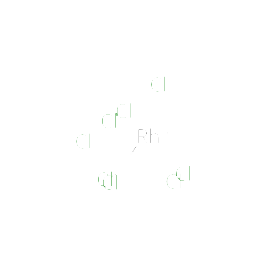 [Cl][Rh-5]([Cl])([Cl])([Cl])([Cl])([Cl])([Cl])[Cl]